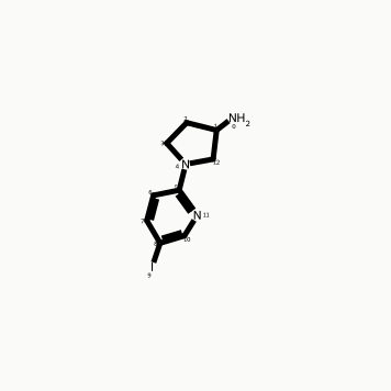 NC1CCN(c2ccc(I)cn2)C1